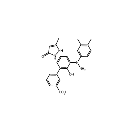 Cc1cc(=O)[nH][nH]1.Cc1ccc(N(N)c2cccc(-c3cccc(C(=O)O)c3)c2O)cc1C